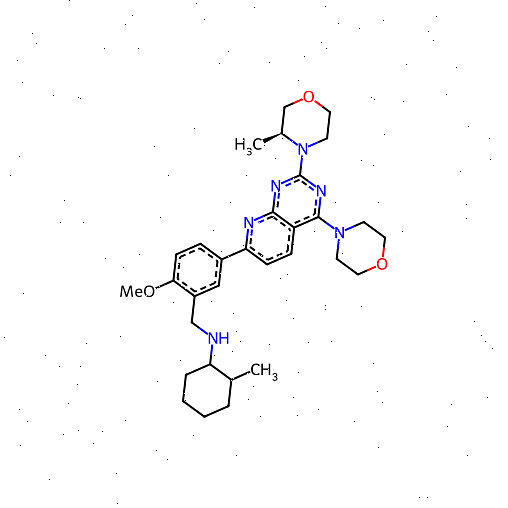 COc1ccc(-c2ccc3c(N4CCOCC4)nc(N4CCOC[C@@H]4C)nc3n2)cc1CNC1CCCCC1C